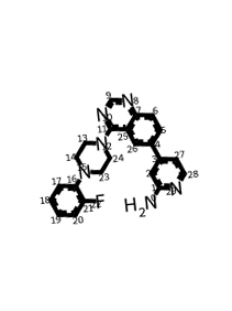 Nc1cc(-c2ccc3ncnc(N4CCN(c5ccccc5F)CC4)c3c2)ccn1